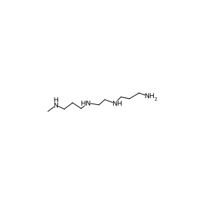 CNCCCNCCNCCCN